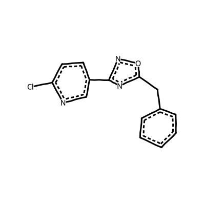 Clc1ccc(-c2noc(Cc3ccccc3)n2)cn1